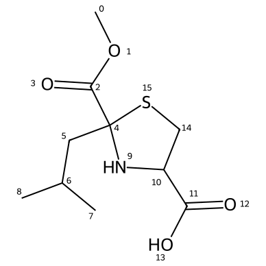 COC(=O)C1(CC(C)C)NC(C(=O)O)CS1